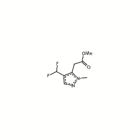 COC(=O)Cc1c(C(F)F)cnn1C